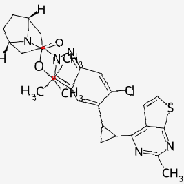 Cc1nc(C2CC2c2cc3cn(C4C[C@H]5CC[C@@H](C4)N5C(=O)OC(C)(C)C)nc3cc2Cl)c2ccsc2n1